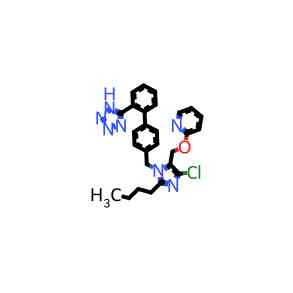 CCCCc1nc(Cl)c(COc2ccccn2)n1Cc1ccc(-c2ccccc2-c2nnn[nH]2)cc1